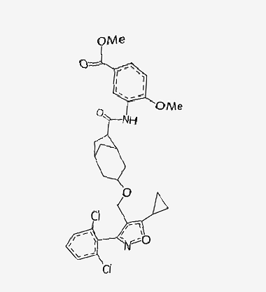 COC(=O)c1ccc(OC)c(NC(=O)C2CC3CC(OCc4c(-c5c(Cl)cccc5Cl)noc4C4CC4)CC2C3)c1